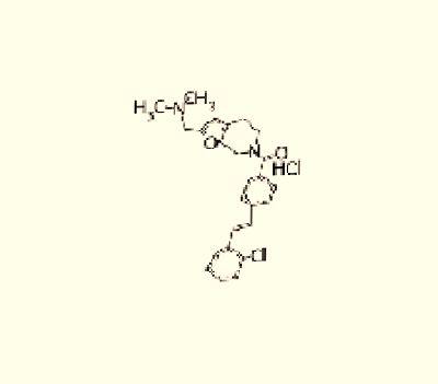 CN(C)Cc1cc2c(o1)CN(C(=O)c1ccc(C=Cc3ccccc3Cl)cc1)CC2.Cl